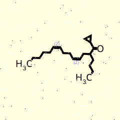 CCCCC/C=C\CC/C=C\CC(CCCC)C(=O)C1CC1